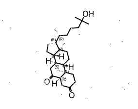 C[C@H](CCCC(C)(C)O)[C@H]1CC[C@H]2[C@@H]3CC(=O)[C@@H]4CC(=O)CC[C@]4(C)[C@H]3CC[C@]12C